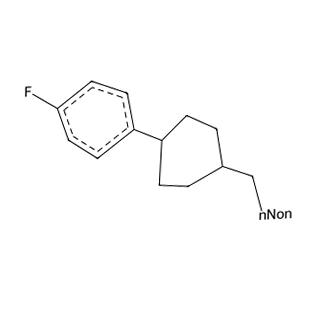 CCCCCCCCCCC1CCC(c2ccc(F)cc2)CC1